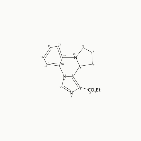 CCOC(=O)c1ncn2c1C1CCCN1c1ccccc1-2